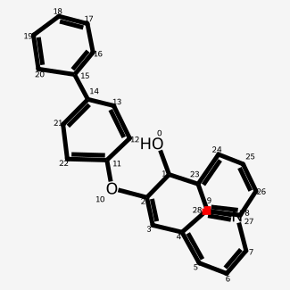 OC(/C(=C\c1cccnc1)Oc1ccc(-c2ccccc2)cc1)c1ccccc1